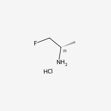 C[C@H](N)CF.Cl